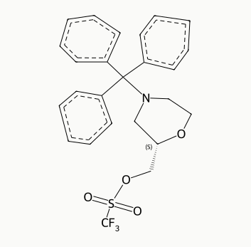 O=S(=O)(OC[C@@H]1CN(C(c2ccccc2)(c2ccccc2)c2ccccc2)CCO1)C(F)(F)F